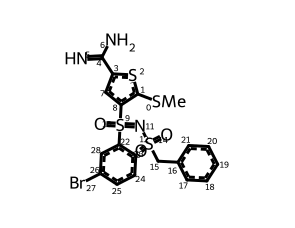 CSc1sc(C(=N)N)cc1S(=O)(=NS(=O)(=O)Cc1ccccc1)c1cccc(Br)c1